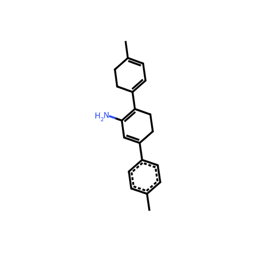 CC1=CC=C(C2=C(N)C=C(c3ccc(C)cc3)CC2)CC1